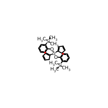 C[Si](C)(C)c1ccccc1[O][Zr]([O]c1ccccc1[Si](C)(C)C)([C]1=CC=CC1)[C]1=CC=CC1